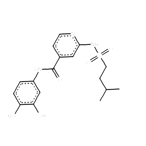 CC(C)CCS(=O)(=O)Nc1cc(C(=O)Nc2ccc(O)c(O)c2)ccn1